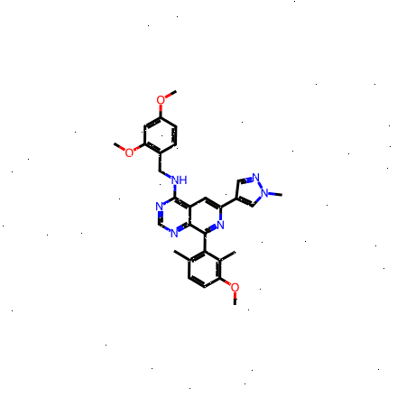 COc1ccc(CNc2ncnc3c(-c4c(C)ccc(OC)c4C)nc(-c4cnn(C)c4)cc23)c(OC)c1